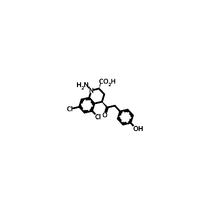 NN1c2cc(Cl)cc(Cl)c2[C@H](C(=O)Cc2ccc(O)cc2)C[C@H]1C(=O)O